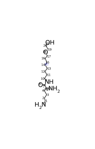 NCCCC[C@H](N)C(=O)NCCCC/C=C/CCOCCO